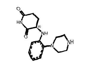 O=C1CC[C@@H](Nc2ccccc2N2CCNCC2)C(=O)N1